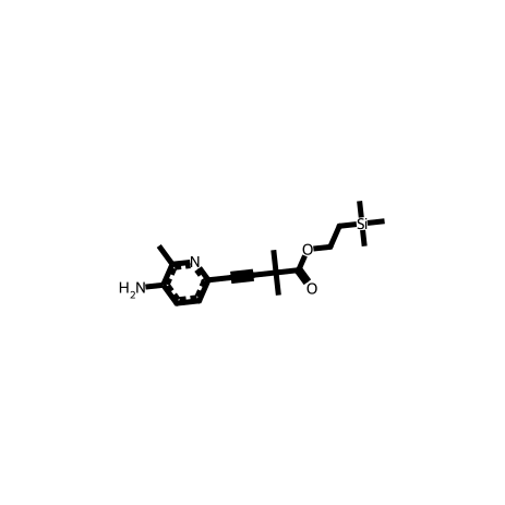 Cc1nc(C#CC(C)(C)C(=O)OCC[Si](C)(C)C)ccc1N